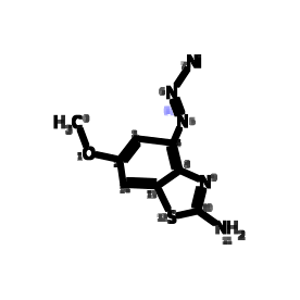 COc1cc(/N=[N]/[Ni])c2nc(N)sc2c1